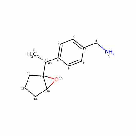 C[C@H](c1ccc(CN)cc1)C12CCCC1O2